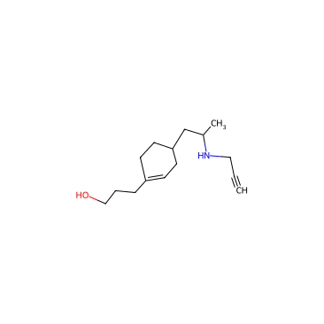 C#CCNC(C)CC1CC=C(CCCO)CC1